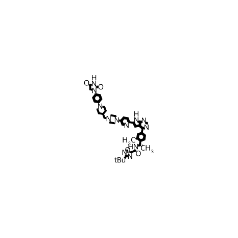 Cc1cc(-c2ncnc3[nH]c(-c4ccc(N5CCN(CC6CCN(c7ccc(N8CC(=O)NC8=O)cc7)CC6)CC5)cn4)cc23)ccc1[C@@H](C)NC(=O)c1nc(C(C)(C)C)no1